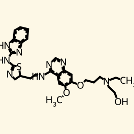 CCN(CCO)CCCOc1cc2ncnc(NCCC3CN=C(Nc4nc5ccccc5[nH]4)S3)c2cc1OC